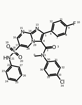 CN(C(=O)c1c(-c2ccc(F)cc2)nc2ncc(S(=O)(=O)Nc3ccccc3)cn12)c1ccc(Cl)cc1